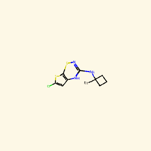 CCC1(NC2=NSc3sc(Cl)cc3N2)CCC1